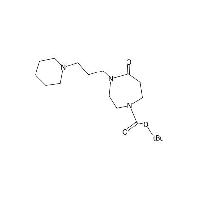 CC(C)(C)OC(=O)N1CCC(=O)N(CCCN2CCCCC2)CC1